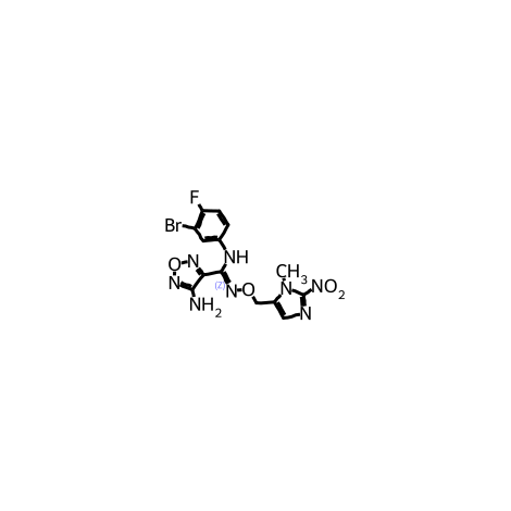 Cn1c(CO/N=C(\Nc2ccc(F)c(Br)c2)c2nonc2N)cnc1[N+](=O)[O-]